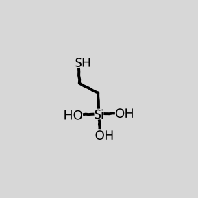 O[Si](O)(O)CCS